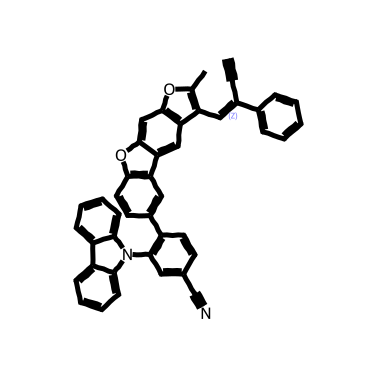 C#C/C(=C\c1c(C)oc2cc3oc4ccc(-c5ccc(C#N)cc5-n5c6ccccc6c6ccccc65)cc4c3cc12)c1ccccc1